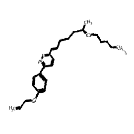 C=CCOc1ccc(-c2ccc(C=CCCCC(C)OCCCCC)nn2)cc1